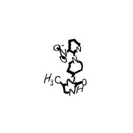 CC1CNC(=O)N1C1CCN(c2ncccc2[N+](=O)[O-])CC1